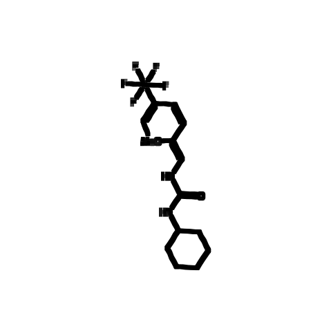 C\C=C(/C=C\C(=C\NC(=O)NC1CCCCC1)OC)S(F)(F)(F)(F)F